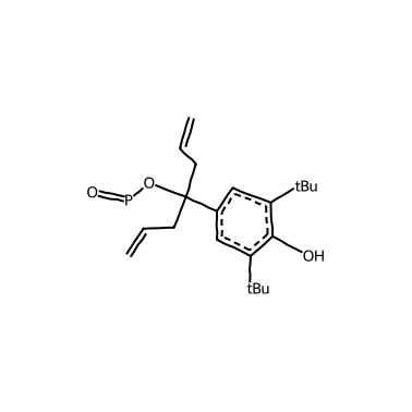 C=CCC(CC=C)(OP=O)c1cc(C(C)(C)C)c(O)c(C(C)(C)C)c1